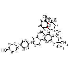 CC1(C)Cc2nc(C3CCN(c4ncc(N5CCC(O)CC5)cn4)CC3)c(C(F)c3ccc(C(F)(F)F)cc3)c(C3CCC(F)(F)CC3)c2[C@@H](O)C1